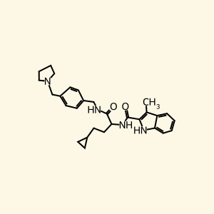 Cc1c(C(=O)NC(CCC2CC2)C(=O)NCc2ccc(CN3CCCC3)cc2)[nH]c2ccccc12